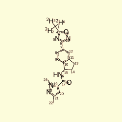 [2H]C([2H])([2H])c1nc(-c2ccc3c(c2)CC[C@H]3NC(=O)c2cc(C)nn2C)no1